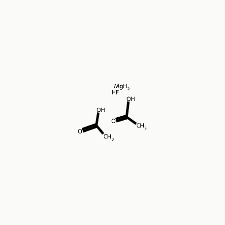 CC(=O)O.CC(=O)O.F.[MgH2]